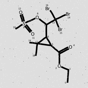 CCOC(=O)C1C(C(OS(C)(=O)=O)C(Br)(Br)Br)C1(C)C